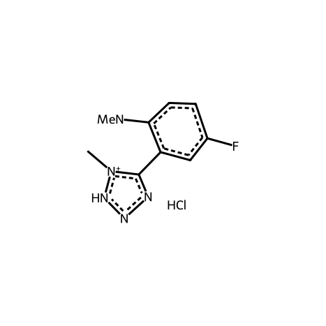 CNc1ccc(F)cc1-c1nn[nH][n+]1C.Cl